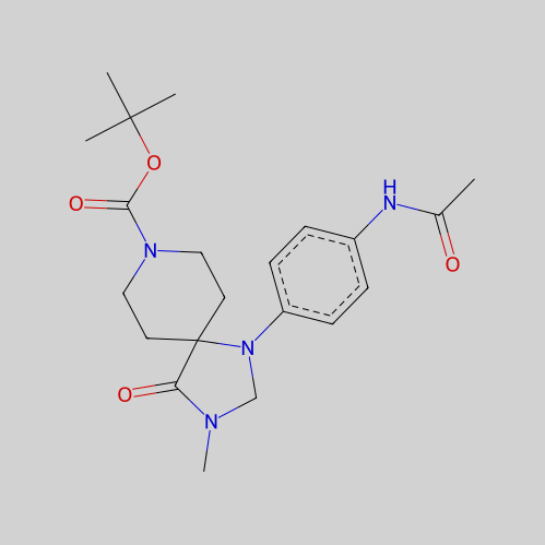 CC(=O)Nc1ccc(N2CN(C)C(=O)C23CCN(C(=O)OC(C)(C)C)CC3)cc1